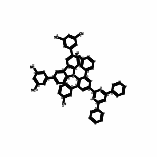 N#Cc1cc(C#N)cc(-c2ccc3c(c2)c2cc(-c4cc(C#N)cc(C#N)c4)ccc2n3-c2c(-c3cccc(C#N)c3)cc(-c3nc(-c4ccccc4)cc(-c4ccccc4)n3)cc2-c2cccc(C#N)c2)c1